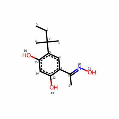 CCC(C)(C)c1cc(C(C)=NO)c(O)cc1O